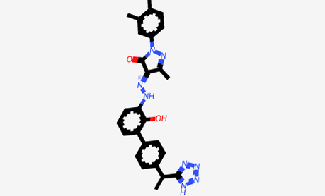 CC1=NN(c2ccc(C)c(C)c2)C(=O)/C1=N/Nc1cccc(-c2ccc(C(C)c3nnn[nH]3)cc2)c1O